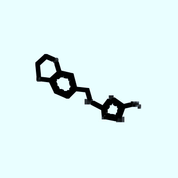 Nc1nc(NCc2ccc3c(c2)OCCO3)n[nH]1